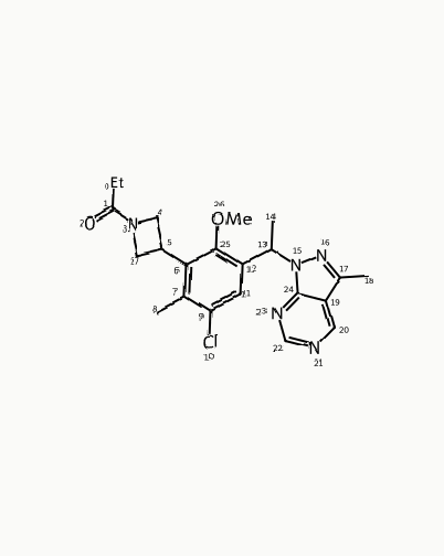 CCC(=O)N1CC(c2c(C)c(Cl)cc(C(C)n3nc(C)c4cncnc43)c2OC)C1